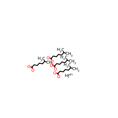 CC(C)CCCCC(=O)[O-].CC(C)CCCCC(=O)[O-].CC(C)CCCCC(=O)[O-].CC(C)CCCCC(=O)[O-].[Hf+4]